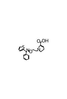 O=C(O)C1=CCCN(CCO/N=C(\c2ccccc2)c2cccs2)C1